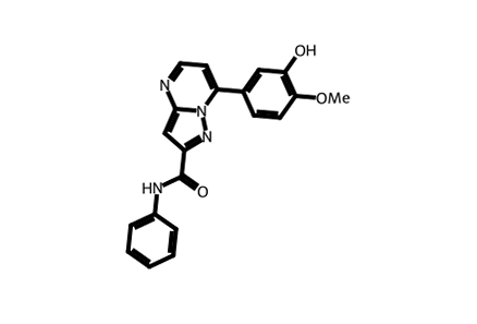 COc1ccc(-c2ccnc3cc(C(=O)Nc4ccccc4)nn23)cc1O